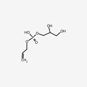 C=CCOP(=O)(O)OCC(O)CO